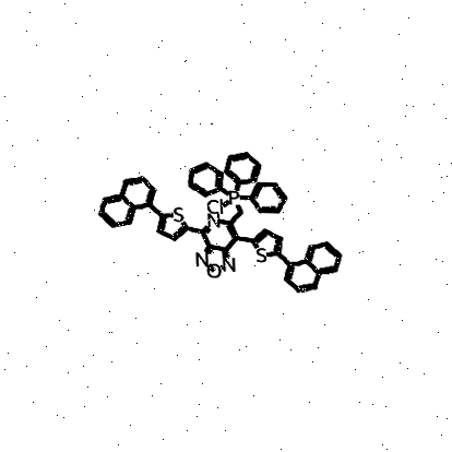 ClP(Cc1nc(-c2ccc(-c3cccc4ccccc34)s2)c2nonc2c1-c1ccc(-c2cccc3ccccc23)s1)(c1ccccc1)(c1ccccc1)c1ccccc1